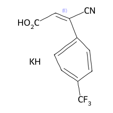 N#C/C(=C/C(=O)O)c1ccc(C(F)(F)F)cc1.[KH]